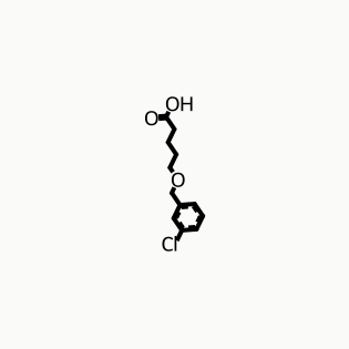 O=C(O)CCCCOCc1cccc(Cl)c1